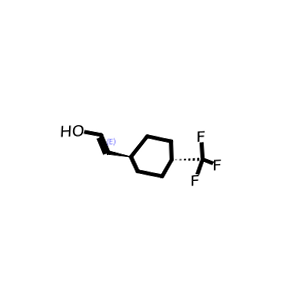 O/C=C/[C@H]1CC[C@H](C(F)(F)F)CC1